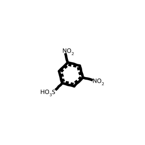 O=[N+]([O-])c1cc([N+](=O)[O-])cc(S(=O)(=O)O)c1